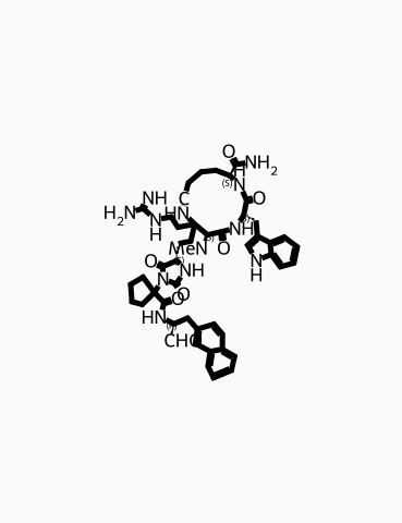 CN[C@@H]1C(=O)N[C@@H](Cc2c[nH]c3ccccc23)C(=O)N[C@H](C(N)=O)CCCCNC1(CCNC(=N)N)CC[C@@H]1NC(=O)N(C2(C(=O)N[C@@H](C=O)Cc3ccc4ccccc4c3)CCCC2)C1=O